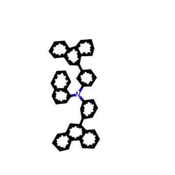 c1cc(-c2cc3ccccc3c3ccccc23)cc(N(c2cccc(-c3cc4ccccc4c4ccccc34)c2)c2cccc3ccccc23)c1